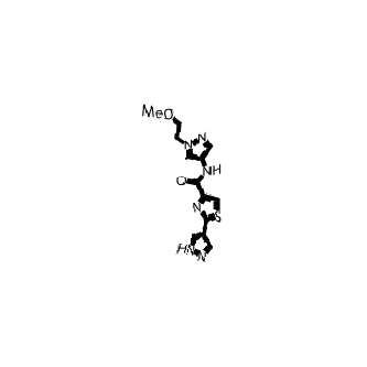 COCCn1cc(NC(=O)c2csc(-c3cn[nH]c3)n2)cn1